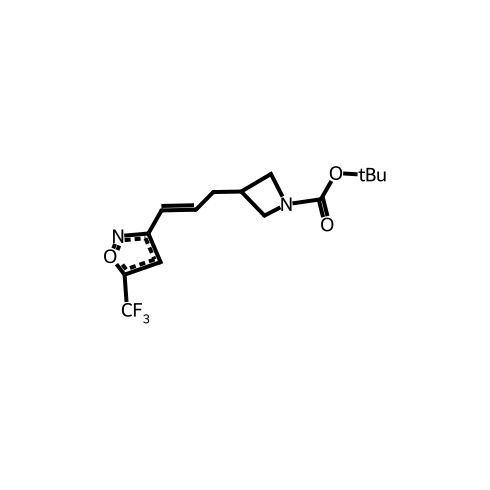 CC(C)(C)OC(=O)N1CC(CC=Cc2cc(C(F)(F)F)on2)C1